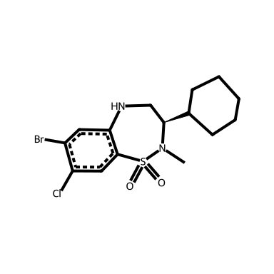 CN1[C@H](C2CCCCC2)CNc2cc(Br)c(Cl)cc2S1(=O)=O